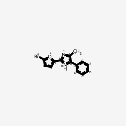 Cc1nc(-c2ccc(Br)o2)[nH]c1-c1ccccc1